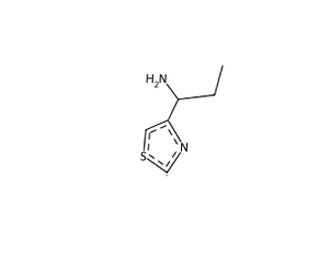 CCC(N)c1cs[c]n1